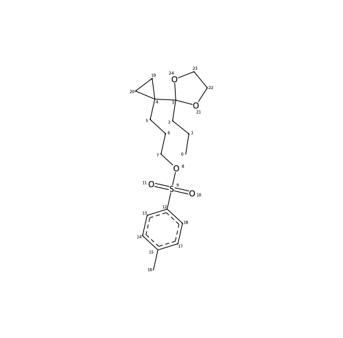 CCCC1(C2(CCCOS(=O)(=O)c3ccc(C)cc3)CC2)OCCO1